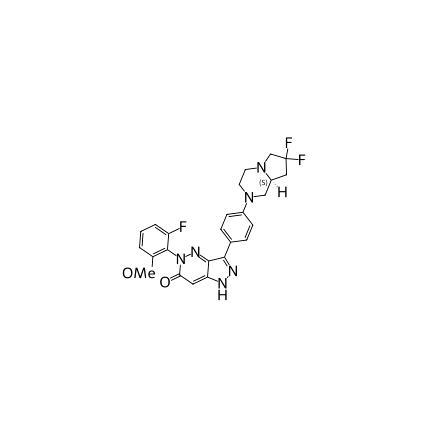 COc1cccc(F)c1-n1nc2c(-c3ccc(N4CCN5CC(F)(F)C[C@H]5C4)cc3)n[nH]c2cc1=O